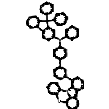 c1ccc(N(c2ccc(-c3cccc(-c4cccc5c6cccc7c6n(c45)-c4ccccc4O7)c3)cc2)c2ccc3c(c2)C(c2ccccc2)(c2ccccc2)c2ccccc2-3)cc1